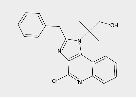 CC(C)(CO)n1c(Cc2ccccc2)nc2c(Cl)nc3ccccc3c21